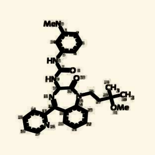 CNc1cccc(NC(=O)NC2N=C(c3ccccn3)c3ccccc3N(CCC(C)(C)OC)C2=O)c1